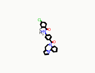 Cc1cc(Cl)ccc1C(=O)Nc1ccc(C(=O)N2CCc3cccn3-c3ccccc32)cc1